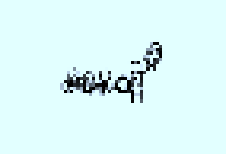 O=C(CN1CCOCC1)Nc1ccc(NC(=O)c2ccc([N+](=O)[O-])o2)cc1